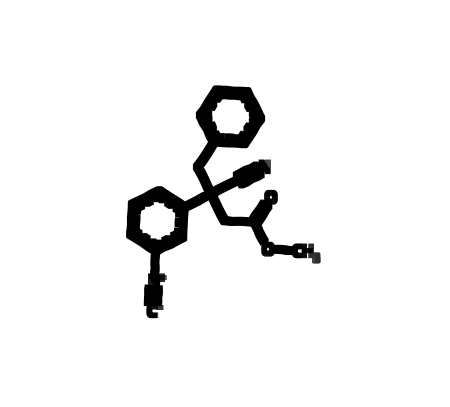 [C-]#[N+]c1cccc(C(C#N)(CC(=O)OC)Cc2ccccc2)c1